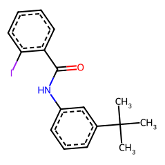 CC(C)(C)c1cccc(NC(=O)c2ccccc2I)c1